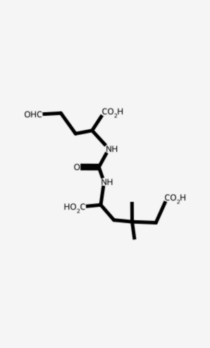 CC(C)(CC(=O)O)CC(NC(=O)NC(CCC=O)C(=O)O)C(=O)O